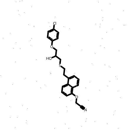 N#CCOc1cccc2c(CCSCC(O)COc3ccc(Cl)cc3)cccc12